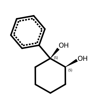 O[C@H]1CCCC[C@]1(O)c1ccccc1